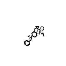 CCN1C[C@]2(CC[C@@H](N(C)Cc3ccccc3)CC2)OC2(CC2)C1=O